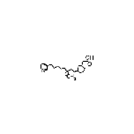 COC(CCCCCc1cccnc1)CCC1CCCC(CC(=O)O)C1